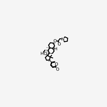 CC[C@H]1[C@H]([C@@]2(O)CC[C@H](c3ccc(=O)oc3)C2(C)C)CC[C@@H]2C[C@@H](OC(=O)CN3CCCC3)CC[C@@]21C